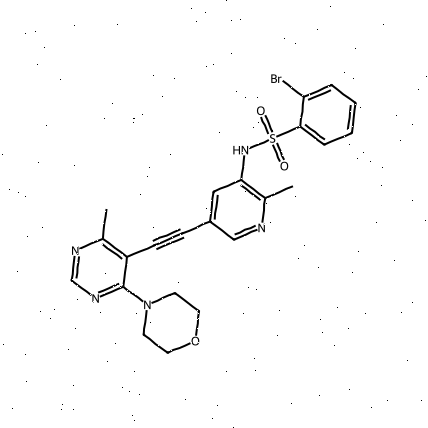 Cc1ncc(C#Cc2c(C)ncnc2N2CCOCC2)cc1NS(=O)(=O)c1ccccc1Br